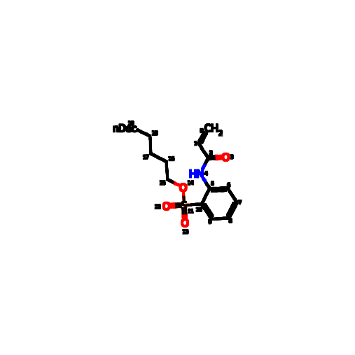 C=CC(=O)Nc1ccccc1S(=O)(=O)OCCCCCCCCCCCCCC